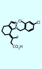 O=C(O)C/C(F)=C1\CCCc2cnn(Cc3ccc(Cl)cc3Cl)c21